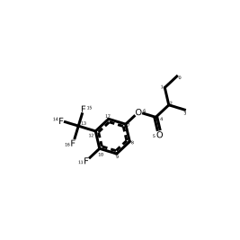 CCC(C)C(=O)Oc1ccc(F)c(C(F)(F)F)c1